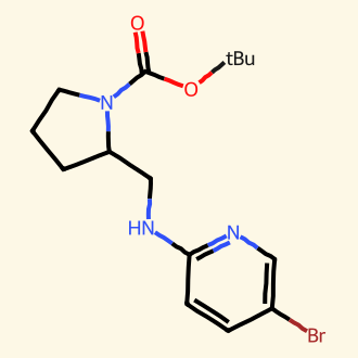 CC(C)(C)OC(=O)N1CCCC1CNc1ccc(Br)cn1